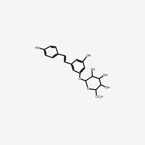 O=C(O)C1OC(Oc2cc(O)cc(C=Cc3ccc(O)cc3)c2)C(O)C(O)C1O